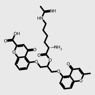 CC(=N)NCCCC[C@H](N)C(=O)OC(COc1cccc2oc(C)cc(=O)c12)COc1cccc2oc(C(=O)O)cc(=O)c12